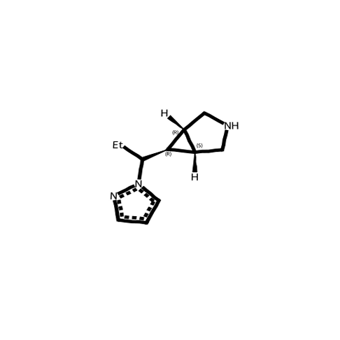 CCC([C@H]1[C@@H]2CNC[C@@H]21)n1cccn1